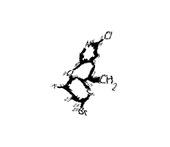 C=C1c2cc(Cl)ncc2Oc2c(F)cc(Br)cc21